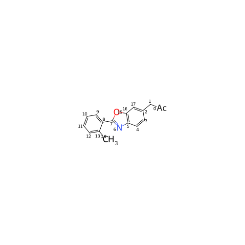 CC(=O)Cc1ccc2nc(-c3ccccc3C)oc2c1